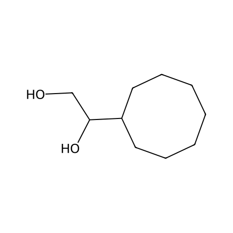 OCC(O)C1CCCCCCC1